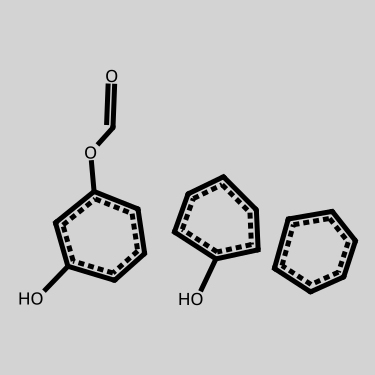 O=COc1cccc(O)c1.Oc1ccccc1.c1ccccc1